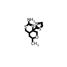 CC1CC2CSC(N)=NC2(c2n[c]cs2)CO1